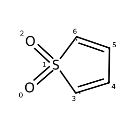 O=S1(=O)[C]=CC=[C]1